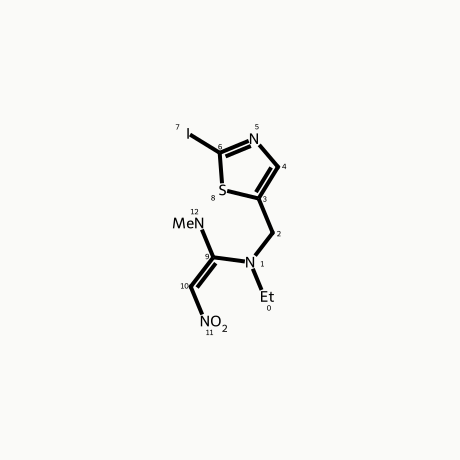 CCN(Cc1cnc(I)s1)/C(=C\[N+](=O)[O-])NC